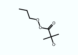 CCCOOC(=O)C(C)(C)[O]